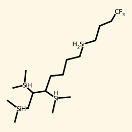 C[SiH](C)CC(C(CCCC[SiH2]CCCC(F)(F)F)[SiH](C)C)[SiH](C)C